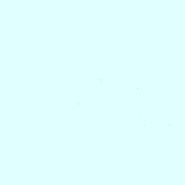 C=C/C=C/C(C)=C/[C@H](C)[C@@H]1CC=C(OC)C(=O)O1